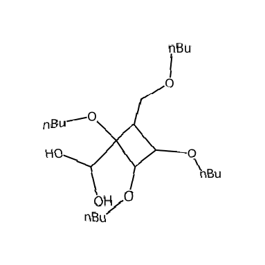 CCCCOCC1C(OCCCC)C(OCCCC)C1(OCCCC)C(O)O